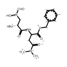 CCCC[C@H](CN(O)C=O)C(=O)NC(CC(=O)N(C)C)C(=O)OCc1ccccc1